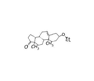 CCOC1CCC2(C)C(=CCC3C4CCC(=O)C4(C)CCC32)C1